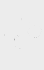 CCC(C)=O.OC1CCCCC1